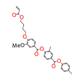 C=CC(=O)OCCCCOc1ccc(C(=O)Oc2ccc(C(=O)Oc3ccc(C)cc3)cc2C)cc1OC